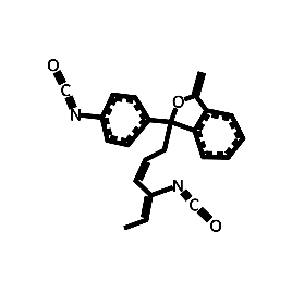 C=C1OC(C/C=C\C(=C/C)N=C=O)(c2ccc(N=C=O)cc2)c2ccccc21